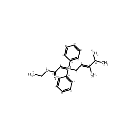 CCOC(=O)C=P(C/C=C(\C)C(C)C)(c1ccccc1)c1ccccc1